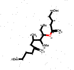 C=C(CCCCCCCCCCCCC)CC(C)C(NC)C(CC(C)CC)OC(=C)CCCCCCCCCCCCC